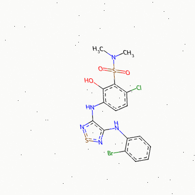 CN(C)S(=O)(=O)c1c(Cl)ccc(Nc2nsnc2Nc2ccccc2Br)c1O